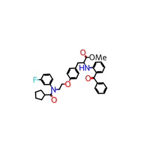 COC(=O)C(Cc1ccc(OCCN(C(=O)C2CCCC2)c2cccc(F)c2)cc1)Nc1ccccc1C(=O)c1ccccc1